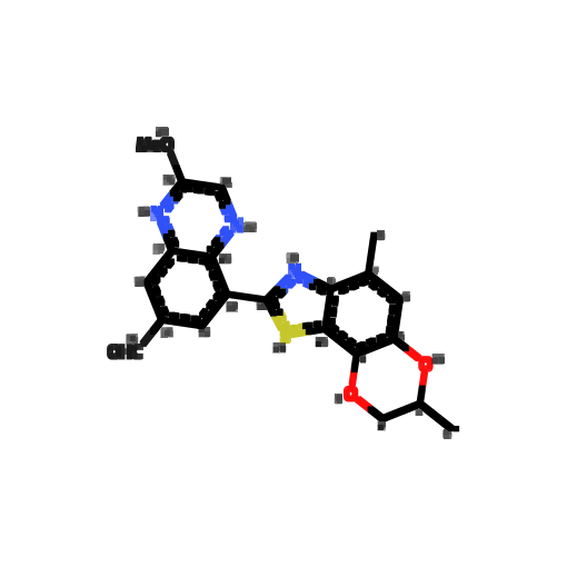 [CH2]C1COc2c(cc(C)c3nc(-c4cc(C=O)cc5nc(OC)cnc45)sc23)O1